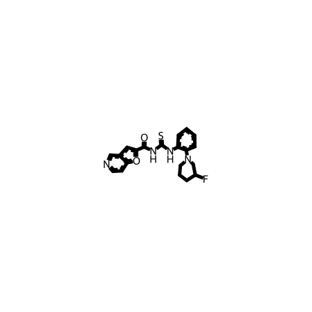 O=C(NC(=S)Nc1ccccc1N1CCCC(F)C1)c1cc2cnccc2o1